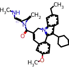 C=C1/C(=C\NC)N1C(=O)C1=Cc2cc(OC)ccc2-c2c(C3CCCCC3)c3ccc(CC)cc3n2C1